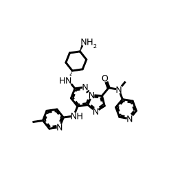 Cc1ccc(Nc2cc(N[C@H]3CC[C@H](N)CC3)nn3c(C(=O)N(C)c4ccncc4)cnc23)nc1